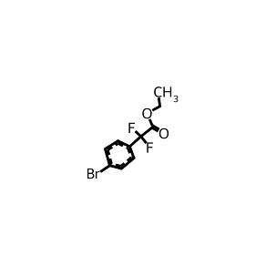 CCOC(=O)C(F)(F)c1ccc(Br)cc1